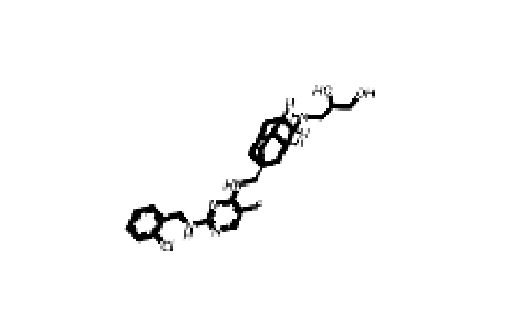 OCC(O)CN[C@@H]1[C@@H]2CC3C[C@H]1C[C@@](CNc1nc(NCc4ccccc4Cl)ncc1F)(C3)C2